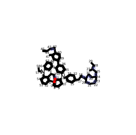 C=C/C=C\Cc1c(-c2cccc(N(c3ccc(C\C=C4/C=C\C=C/C(=C/C(C)=C/C)/C=C/4)cc3)c3ccc(-c4ccc(/C=C\C=C)c(C)c4)cc3)c2)cccc1N(CC)c1ccccc1